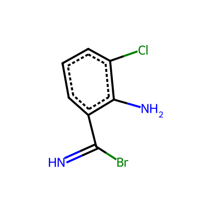 N=C(Br)c1cccc(Cl)c1N